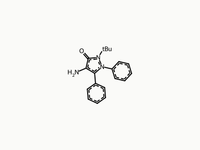 CC(C)(C)n1c(=O)c(N)c(-c2ccccc2)n1-c1ccccc1